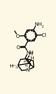 COc1cc(N)c(Cl)cc1C(=O)NC[C@@H]1C2C[C@H]3C[C@@H]1CN2C3